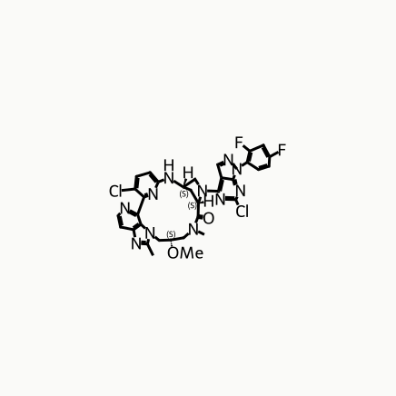 CO[C@H]1CN(C)C(=O)[C@@H]2C[C@@H](CN2c2nc(Cl)nc3c2cnn3-c2ccc(F)cc2F)Nc2ccc(Cl)c(n2)-c2nccc3nc(C)n(c23)C1